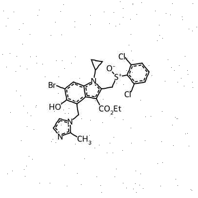 CCOC(=O)c1c(C[S+]([O-])c2c(Cl)cccc2Cl)n(C2CC2)c2cc(Br)c(O)c(Cn3ccnc3C)c12